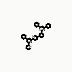 c1ccc(-c2cc(-c3ccccn3)nc(-c3ccc(-c4cccc(-c5nc(-c6ccccc6)cc(-c6ccccc6)n5)c4)cn3)c2)cc1